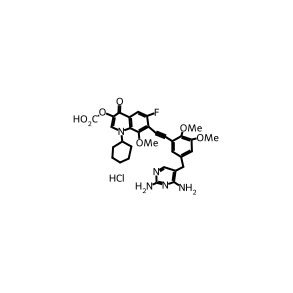 COc1cc(Cc2cnc(N)nc2N)cc(C#Cc2c(F)cc3c(=O)c(OC(=O)O)cn(C4CCCCC4)c3c2OC)c1OC.Cl